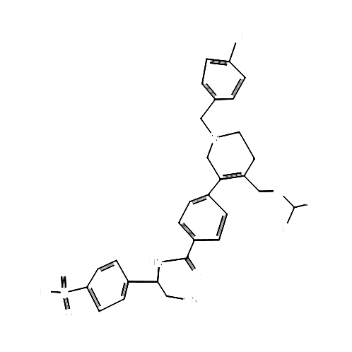 CCS(=O)(=O)c1ccc(C(CC#N)NC(=O)c2ccc(C3=C(COC(F)F)CCN(Cc4ccc(C(F)(F)F)cc4)C3)cc2)cc1